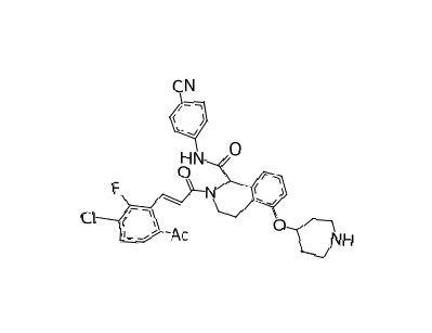 CC(=O)c1ccc(Cl)c(F)c1C=CC(=O)N1CCc2c(OC3CCNCC3)cccc2C1C(=O)Nc1ccc(C#N)cc1